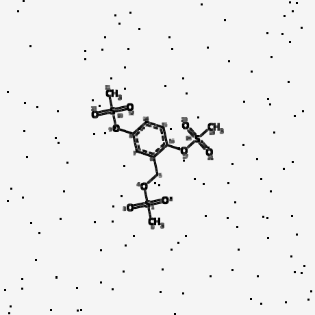 CS(=O)(=O)OCc1cc(OS(C)(=O)=O)ccc1OS(C)(=O)=O